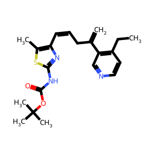 C=C(C/C=C\c1nc(NC(=O)OC(C)(C)C)sc1C)c1cnccc1CC